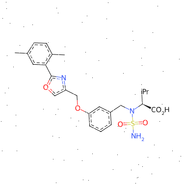 Cc1ccc(C)c(-c2nc(COc3cccc(CN([C@H](C(=O)O)C(C)C)S(N)(=O)=O)c3)co2)c1